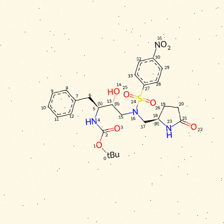 CC(C)(C)OC(=O)N[C@@H](Cc1ccccc1)[C@H](O)CN(C[C@H]1CCC(=O)N1)S(=O)(=O)c1ccc([N+](=O)[O-])cc1